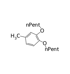 CCCCCOc1ccc(C)cc1OCCCCC